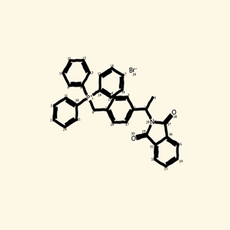 CC(c1ccc(C[P+](c2ccccc2)(c2ccccc2)c2ccccc2)cc1)N1C(=O)c2ccccc2C1=O.[Br-]